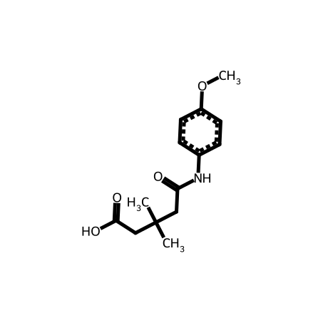 COc1ccc(NC(=O)CC(C)(C)CC(=O)O)cc1